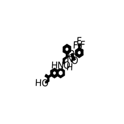 C=C(CO)c1ccc2c(c1)CCCC2NC(=O)CC(NS(=O)(=O)c1cccc(C(F)(F)F)c1)c1ccccc1